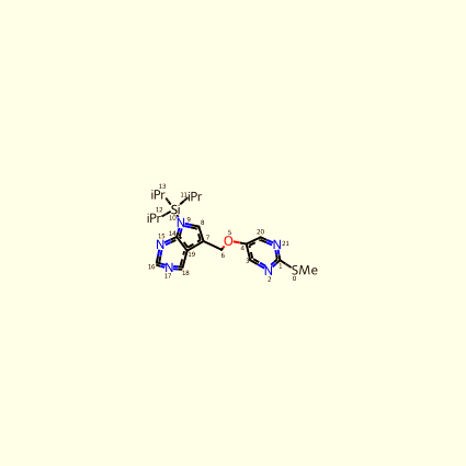 CSc1ncc(OCc2cn([Si](C(C)C)(C(C)C)C(C)C)c3ncncc23)cn1